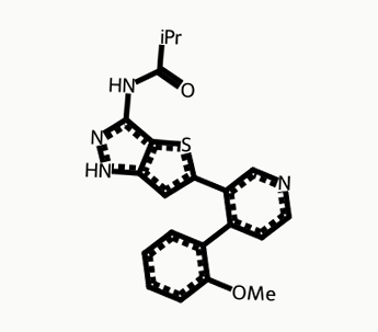 COc1ccccc1-c1ccncc1-c1cc2[nH]nc(NC(=O)C(C)C)c2s1